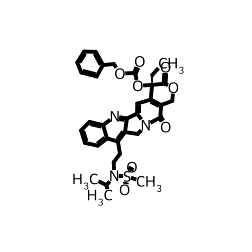 CC[C@@]1(OC(=O)OCc2ccccc2)C(=O)OCc2c1cc1n(c2=O)Cc2c-1nc1ccccc1c2CCN(C(C)C)S(C)(=O)=O